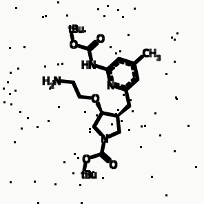 Cc1cc(C[C@H]2CN(C(=O)OC(C)(C)C)C[C@H]2OCCN)nc(NC(=O)OC(C)(C)C)c1